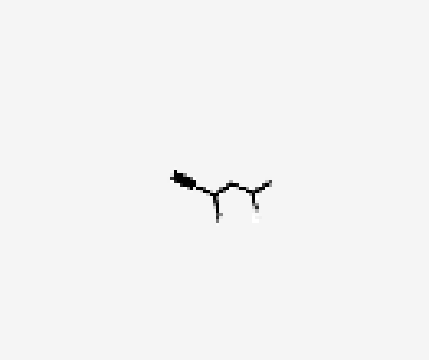 C#CC(F)CC(C)F